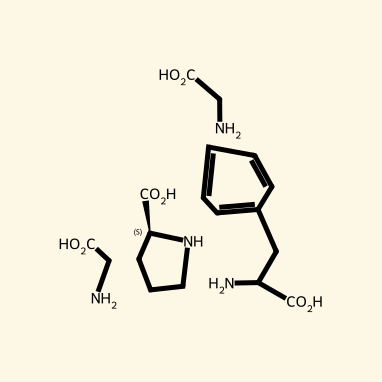 NC(Cc1ccccc1)C(=O)O.NCC(=O)O.NCC(=O)O.O=C(O)[C@@H]1CCCN1